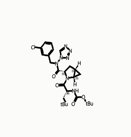 CC(C)(C)C[C@@H](NC(=O)OC(C)(C)C)C(=O)N1[C@H](C(=O)N(Cc2cccc(Cl)c2)n2cnnn2)C[C@@H]2C[C@@H]21